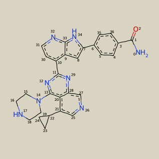 NC(=O)c1ccc(-c2cc3c(-c4nc(N5CCNCC5)c5c(C6CC6)cncc5n4)ccnc3[nH]2)cc1